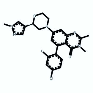 Cc1nc2cc(N3CCO[C@H](c4cnn(C)c4)C3)cc(-c3ccc(Cl)cc3F)c2c(=O)n1C